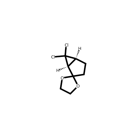 ClC1(Cl)[C@H]2CCC3(OCCO3)[C@H]21